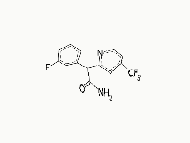 NC(=O)C(c1cccc(F)c1)c1cc(C(F)(F)F)ccn1